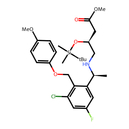 COC(=O)C[C@@H](CN[C@@H](C)c1cc(F)cc(Cl)c1COc1ccc(OC)cc1)O[Si](C)(C)C(C)(C)C